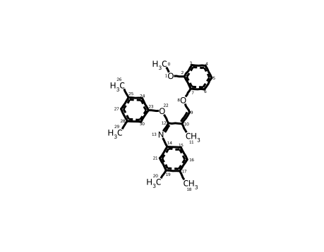 COc1ccccc1OC=C(C)C(=Nc1ccc(C)c(C)c1)Oc1cc(C)cc(C)c1